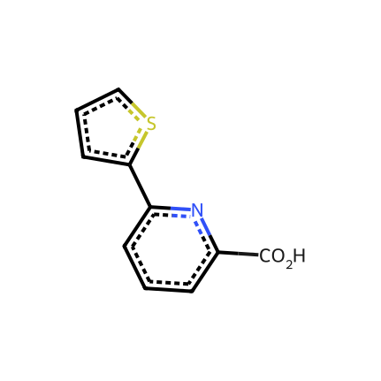 O=C(O)c1cccc(-c2cccs2)n1